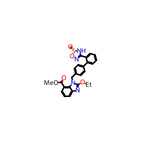 CCOc1nc2cccc(C(=O)OC)c2n1Cc1ccc(-c2ccccc2C2=NOS(=O)N2)cc1